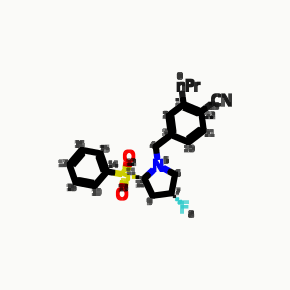 CCCc1cc(CN2C[C@H](F)C[C@@H]2S(=O)(=O)c2ccccc2)ccc1C#N